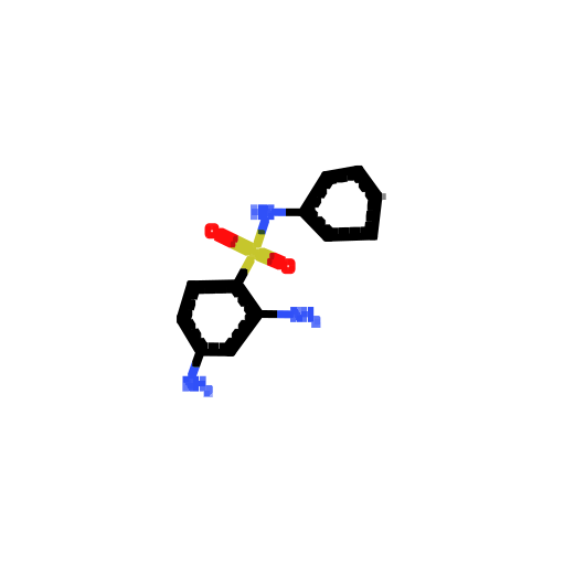 Nc1ccc(S(=O)(=O)Nc2cc[c]cc2)c(N)c1